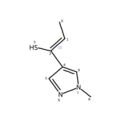 C/C=C(\S)c1cnn(C)c1